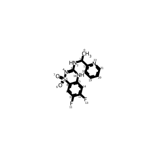 CC(NC1=NS(=O)(=O)c2cc(F)c(F)cc2N1)c1ccccn1